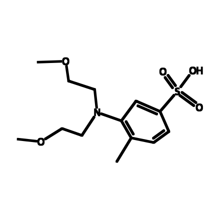 COCCN(CCOC)c1cc(S(=O)(=O)O)ccc1C